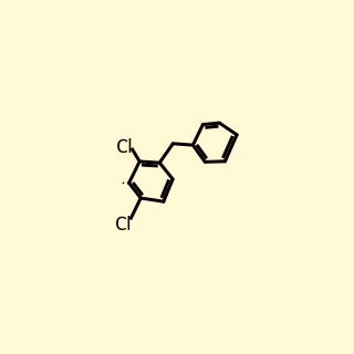 Clc1[c]c(Cl)c(Cc2ccccc2)cc1